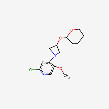 COc1cnc(Cl)cc1N1CC(OC2CCCCO2)C1